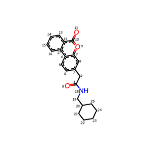 O=C(Cc1ccc2c(c1)oc(=O)c1ccccc12)NCC1CCCCC1